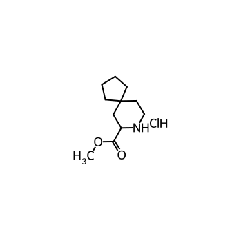 COC(=O)C1CC2(CCCC2)CCN1.Cl